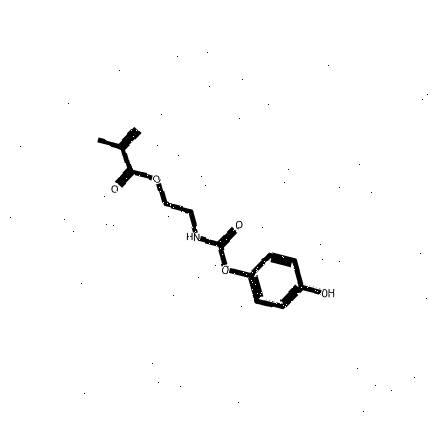 C=C(C)C(=O)OCCNC(=O)Oc1ccc(O)cc1